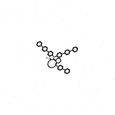 C=C1CCCCC/C(c2ccc(-c3ccccc3)cc2)=C2/CCCC/C2=C/1N(c1ccc(-c2ccc(-c3ccccc3)cc2)cc1)c1ccc(-c2ccc(-c3ccccc3)cc2)cc1